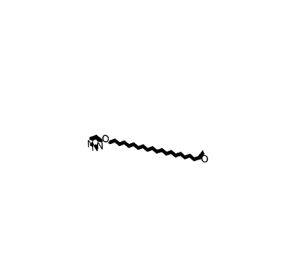 c1cc(OCCCCCCCCCCCCCCCCCCCC2CO2)nnn1